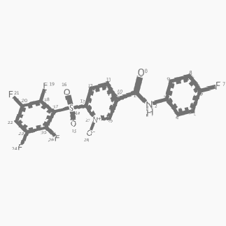 O=C(Nc1ccc(F)cc1)c1ccc(S(=O)(=O)c2c(F)c(F)cc(F)c2F)[n+]([O-])c1